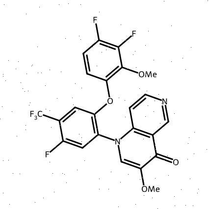 COc1c(Oc2cc(C(F)(F)F)c(F)cc2-n2cc(OC)c(=O)c3cnccc32)ccc(F)c1F